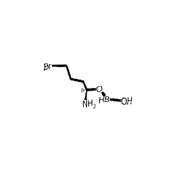 N[C@@H](CCCBr)OBO